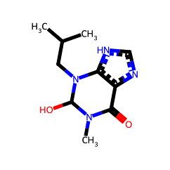 CC(C)CN1c2[nH]cnc2C(=O)N(C)C1O